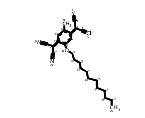 C#C/C(C#N)=c1\cc(OCCCCCCCCCCCC)c(=C(C#N)C#N)cc1C